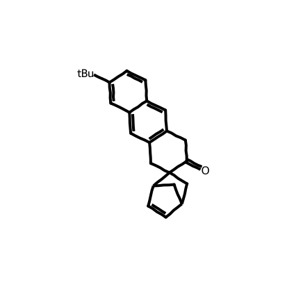 CC(C)(C)c1ccc2cc3c(cc2c1)CC1(CC2C=CC1C2)C(=O)C3